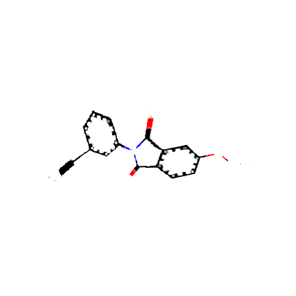 C#Cc1cccc(N2C(=O)c3ccc(OC=O)cc3C2=O)c1